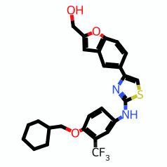 OCc1cc2cc(-c3csc(Nc4ccc(OCC5CCCCC5)c(C(F)(F)F)c4)n3)ccc2o1